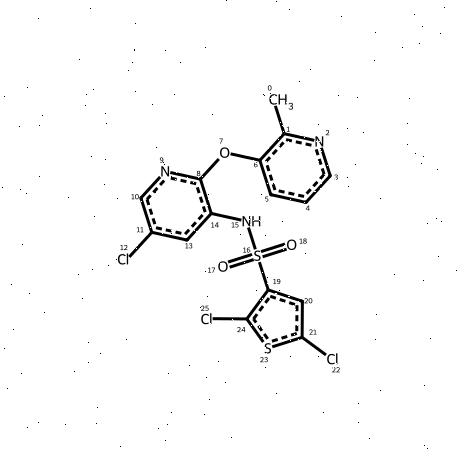 Cc1ncccc1Oc1ncc(Cl)cc1NS(=O)(=O)c1cc(Cl)sc1Cl